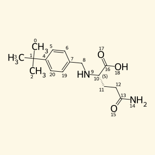 CC(C)(C)c1ccc(CN[C@@H](CCC(N)=O)C(=O)O)cc1